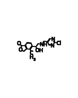 Cc1c(C(O)CNCc2cnc(Cl)nc2)ccc2c1COC2=O